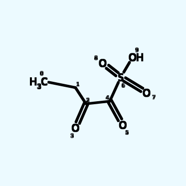 CCC(=O)C(=O)S(=O)(=O)O